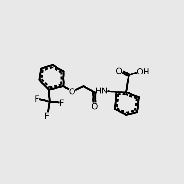 O=C(COc1ccccc1C(F)(F)F)Nc1ccccc1C(=O)O